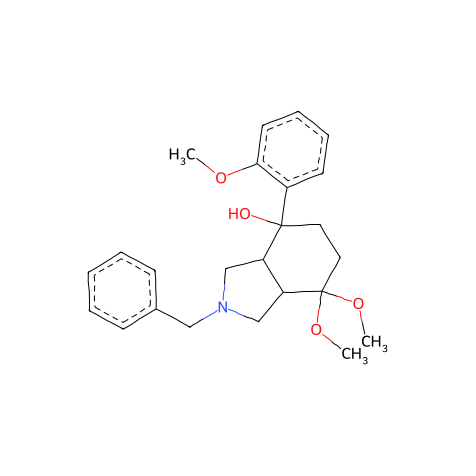 COc1ccccc1C1(O)CCC(OC)(OC)C2CN(Cc3ccccc3)CC21